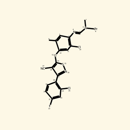 Cc1cc(N=CN(C)C(C)C)c(Cl)cc1Oc1snc(-c2ccc(F)cc2Cl)c1C#N